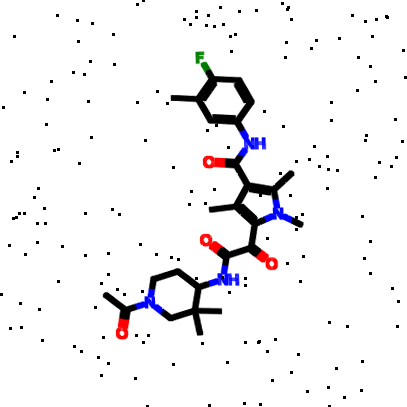 CC(=O)N1CCC(NC(=O)C(=O)c2c(C)c(C(=O)Nc3ccc(F)c(C)c3)c(C)n2C)C(C)(C)C1